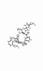 Cc1cccc(C)c1-c1cc2nc(n1)NS(=O)(=O)c1cccc(c1)C(=O)N([C@H]1C[C@]3(CCN(C)C3)C1)[C@H](CC(C)C)CO2